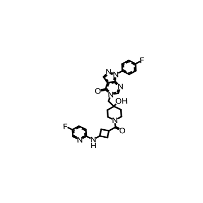 O=C(C1CC(Nc2ccc(F)cn2)C1)N1CCC(O)(Cn2cnc3c(cnn3-c3ccc(F)cc3)c2=O)CC1